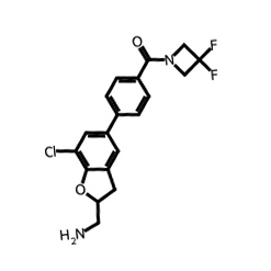 NCC1Cc2cc(-c3ccc(C(=O)N4CC(F)(F)C4)cc3)cc(Cl)c2O1